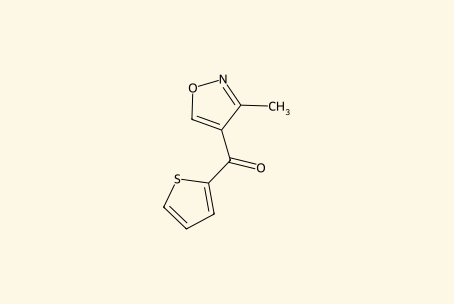 Cc1nocc1C(=O)c1cccs1